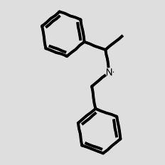 CC([N]Cc1ccccc1)c1ccccc1